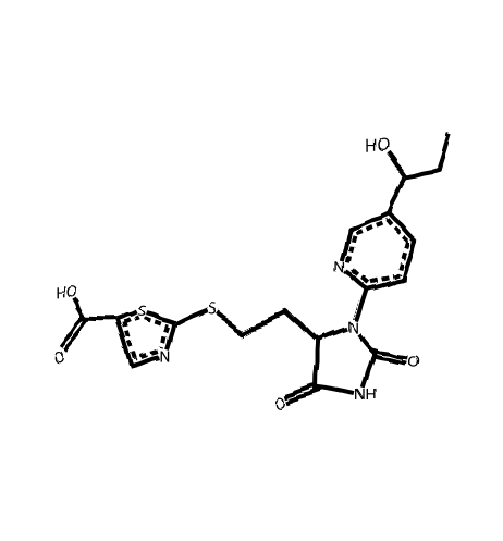 CCC(O)c1ccc(N2C(=O)NC(=O)C2CCSc2ncc(C(=O)O)s2)nc1